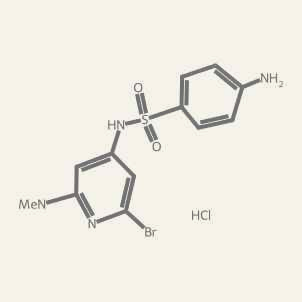 CNc1cc(NS(=O)(=O)c2ccc(N)cc2)cc(Br)n1.Cl